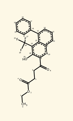 CCOC(=O)CCC(=O)c1nc2cccc(-c3ccccc3)c2c(C(F)(F)F)c1O